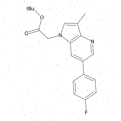 Cc1cn(CC(=O)OC(C)(C)C)c2cc(-c3ccc(F)cc3)cnc12